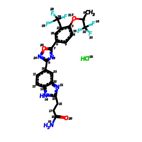 CC(Oc1ccc(-c2nc(-c3ccc4[nH]c(CCC(N)=O)nc4c3)no2)cc1C(F)(F)F)C(F)(F)F.Cl